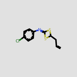 C=CCC1SC(=Nc2ccc(Cl)cc2)S1